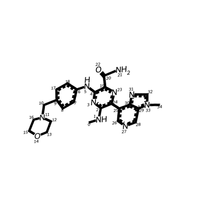 CNc1nc(Nc2ccc(CN3CCOCC3)cc2)c(C(N)=O)nc1-c1cncc2c1ncn2C